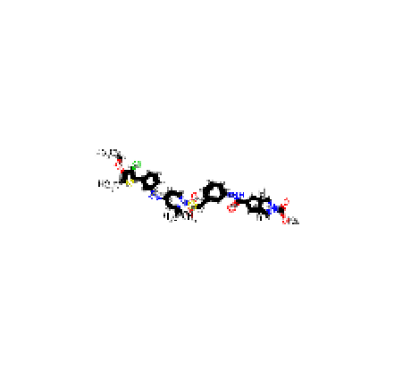 CC(C)(C)OC(=O)N1C[C@H]2CC(C(=O)Nc3cccc(CS(=O)(=O)N4CC[C@H](Nc5cccc(-c6sc(C(=O)O)c(OCC(=O)O)c6Cl)c5)CC4(C)C)c3)C[C@H]2C1